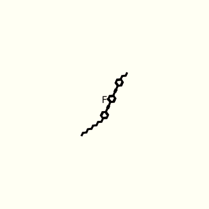 CCCCCCCCCc1ccc(C#Cc2ccc(C#Cc3ccc(CCC)cc3)cc2F)cc1